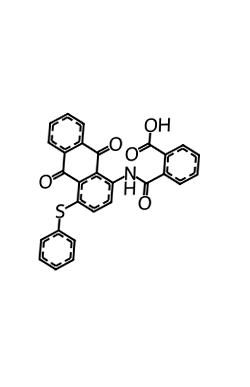 O=C(O)c1ccccc1C(=O)Nc1ccc(Sc2ccccc2)c2c1C(=O)c1ccccc1C2=O